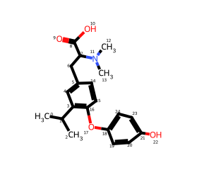 CC(C)c1cc(CC(C(=O)O)N(C)C)ccc1Oc1ccc(O)cc1